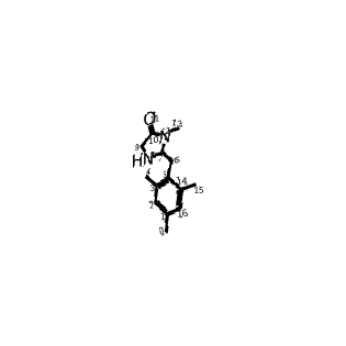 Cc1cc(C)c(CC2NCC(=O)N2C)c(C)c1